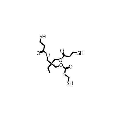 CCC(COC(=O)CCS)(COC(=O)CCS)COC(=O)SCS